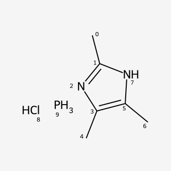 Cc1nc(C)c(C)[nH]1.Cl.P